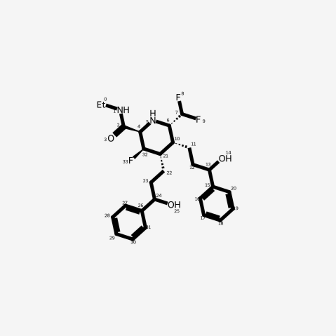 CCNC(=O)[C@H]1N[C@H](C(F)F)[C@H](CCC(O)c2ccccc2)[C@H](CCC(O)c2ccccc2)[C@H]1F